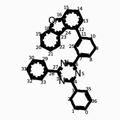 C1=CCC(c2nc(C3=CCCC(c4cccc5oc6ccccc6c45)=C3)nc(-c3ccccc3)n2)C=C1